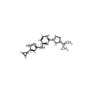 CN(C)C1CCN(c2nccc(Nc3cc(C4CC4)[nH]n3)n2)C1